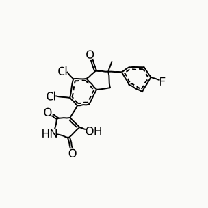 CC1(c2ccc(F)cc2)Cc2cc(C3=C(O)C(=O)NC3=O)c(Cl)c(Cl)c2C1=O